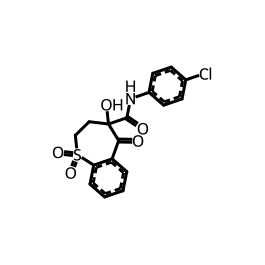 O=C(Nc1ccc(Cl)cc1)C1(O)CCS(=O)(=O)c2ccccc2C1=O